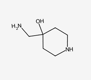 NCC1(O)CCNCC1